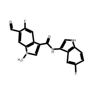 Cn1cc(C(=O)Nc2c[nH]c3ccc(F)cc23)c2cc(F)c(C=O)cc21